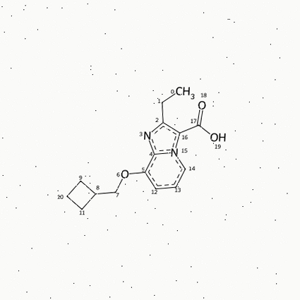 CCc1nc2c(OCC3CCC3)cccn2c1C(=O)O